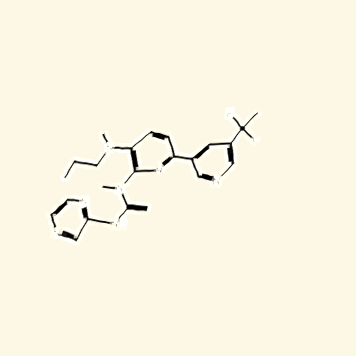 C=C(Nc1cnccn1)N(C)c1nc(-c2cncc(C(C)(F)F)c2)ccc1N(C)CCC